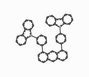 c1cc(-c2cccc3cc4cccc(-c5ccc(-n6c7ccccc7c7ccccc76)cc5)c4cc23)cc(-n2c3ccccc3c3ccccc32)c1